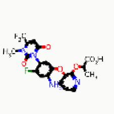 CC(Oc1ncccc1Oc1cc(-n2c(=O)cc(C(F)(F)F)n(C)c2=O)c(F)cc1N)C(=O)O